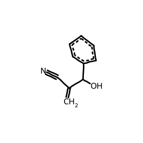 C=C(C#N)C(O)c1ccccc1